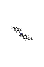 Cc1ccc(N/C=C/C(=O)c2ccc(Br)cc2)cc1